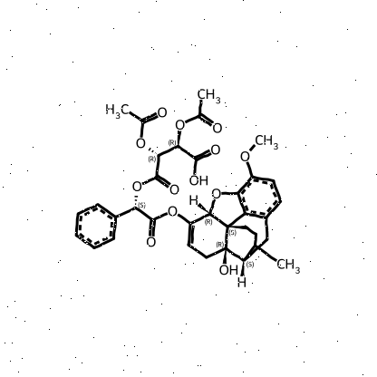 COc1ccc2c3c1O[C@H]1C(OC(=O)[C@@H](OC(=O)[C@H](OC(C)=O)[C@@H](OC(C)=O)C(=O)O)c4ccccc4)=CC[C@@]4(O)[C@@H](C2)C(C)CC[C@]314